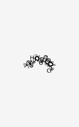 CC(C)(C)OC(=O)NCc1cccc(OC(=O)c2cc3cc(CCl)ccc3oc2=O)c1